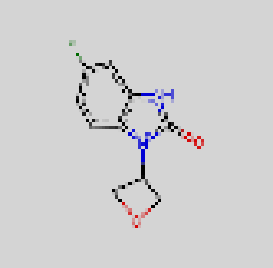 O=c1[nH]c2cc(F)ccc2n1C1COC1